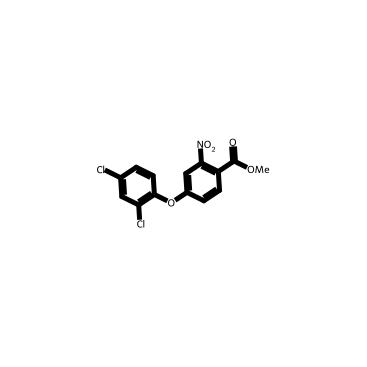 COC(=O)c1ccc(Oc2ccc(Cl)cc2Cl)cc1[N+](=O)[O-]